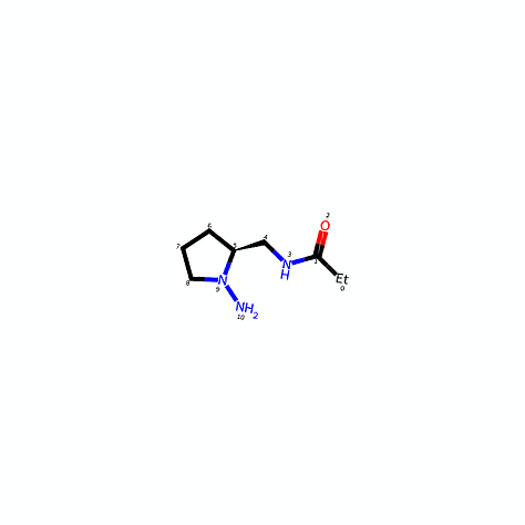 CCC(=O)NC[C@@H]1CCCN1N